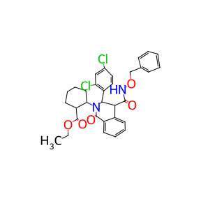 CCOC(=O)C1CCCCC1N1C(=O)c2ccccc2C(C(=O)NOCc2ccccc2)C1c1ccc(Cl)cc1Cl